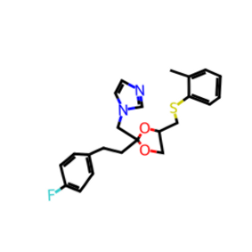 Cc1ccccc1SCC1COC(CCc2ccc(F)cc2)(Cn2ccnc2)O1